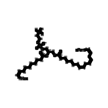 CCCCC/C=C\C/C=C\C/C=C\CCCCCCC(=O)OC[C@H](COP(=O)([O-])OCC[N+](C)(C)C)OC(=O)CCCCCCC/C=C\CCCCCC